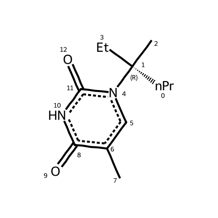 CCC[C@@](C)(CC)n1cc(C)c(=O)[nH]c1=O